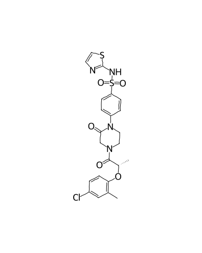 Cc1cc(Cl)ccc1O[C@@H](C)C(=O)N1CCN(c2ccc(S(=O)(=O)Nc3nccs3)cc2)C(=O)C1